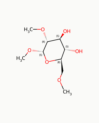 COC[C@H]1O[C@H](OC)[C@H](OC)[C@@H](O)[C@@H]1O